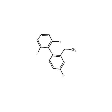 CCc1[c]c(F)ccc1-c1c(F)cccc1F